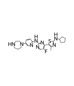 Cc1nc(NC2CCCC2)sc1-c1nc(Nc2ccc(N3CCCNCC3)cn2)ncc1F